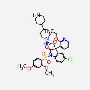 CCOc1ncccc1C1(C(=O)NN2CCC(C3CCNCC3)CC2)C(=O)N(S(=O)(=O)c2ccc(OC)cc2OC)c2ccc(Cl)cc21